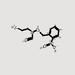 CCCN(C=O)OCc1ccccc1[N+](=O)[O-]